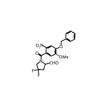 COc1cc(C(=O)N2CC(F)(F)CC2C=O)c([N+](=O)[O-])cc1OCc1ccccc1